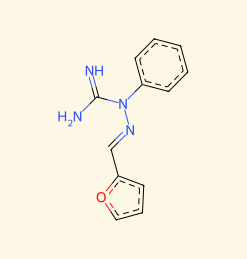 N=C(N)N(N=Cc1ccco1)c1ccccc1